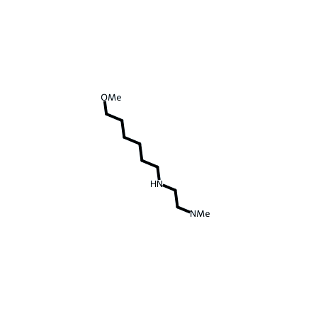 CNCCNCCCCCCOC